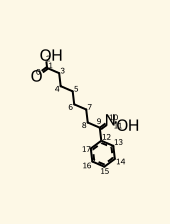 O=C(O)CCCCCC/C(=N/O)c1ccccc1